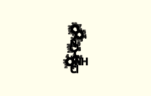 Clc1cccc2c(C3CCN(Cc4cccc5ccccc45)CC3)c[nH]c12